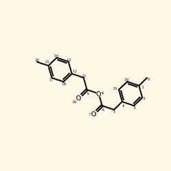 Cc1ccc(CC(=O)OC(=O)Cc2ccc(C)cc2)cc1